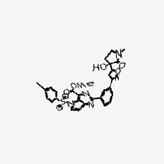 COC(=O)c1nc(-c2cccc(-c3cc([C@]4(O)CCN(C)C4=O)on3)c2)nc2ccn(S(=O)(=O)c3ccc(C)cc3)c12